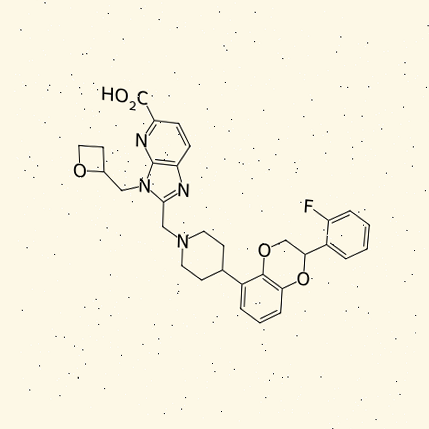 O=C(O)c1ccc2nc(CN3CCC(c4cccc5c4OCC(c4ccccc4F)O5)CC3)n(CC3CCO3)c2n1